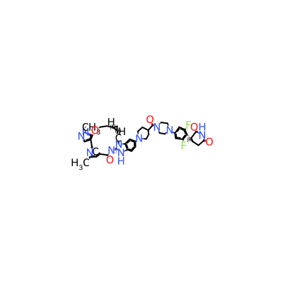 Cc1cc2cc(n1)-c1cnn(C)c1OCC[C@@H]1C[C@H]1CN1/C(=N/C2=O)Nc2ccc(N3CCC(C(=O)N4CCN(c5cc(F)c([C@H]6CCC(=O)NC6=O)c(F)c5)CC4)CC3)cc21